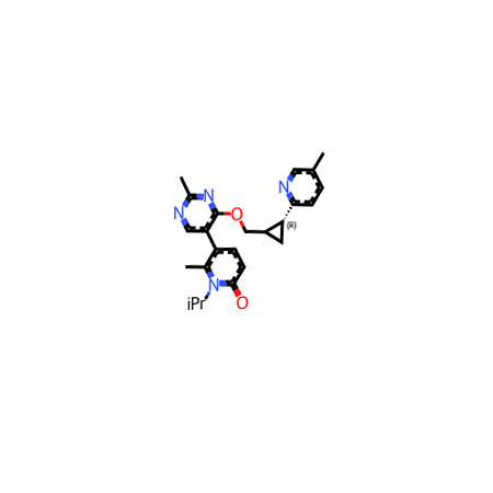 Cc1ccc([C@@H]2CC2COc2nc(C)ncc2-c2ccc(=O)n(C(C)C)c2C)nc1